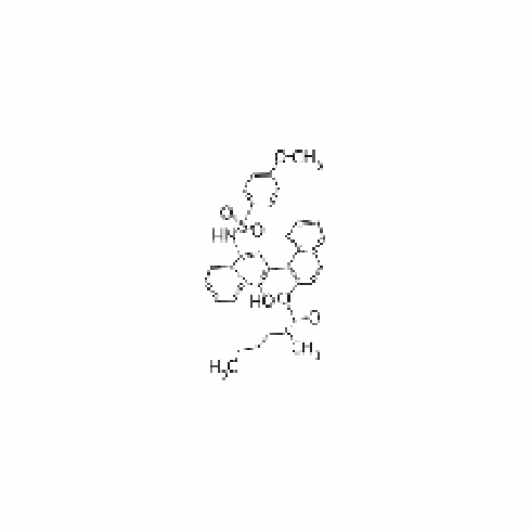 CCCCN(C)C(=O)Oc1ccc2ccccc2c1-c1cc(NS(=O)(=O)c2ccc(OC)cc2)c2ccccc2c1O